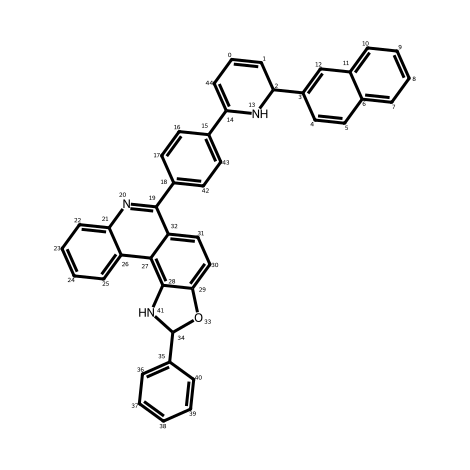 C1=CC(c2ccc3ccccc3c2)NC(c2ccc(-c3nc4ccccc4c4c5c(ccc34)OC(c3ccccc3)N5)cc2)=C1